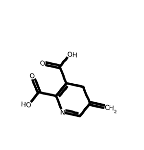 C=C1C=NC(C(=O)O)=C(C(=O)O)C1